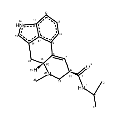 CC(C)NC(=O)[C@@H]1C=C2c3cccc4[nH]cc(c34)C[C@H]2N(C)C1